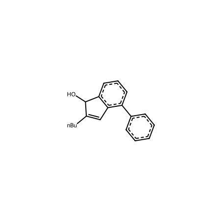 CCCCC1=Cc2c(-c3ccccc3)cccc2C1O